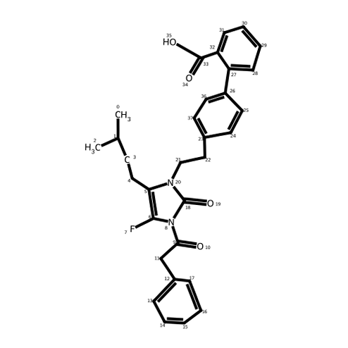 CC(C)CCc1c(F)n(C(=O)Cc2ccccc2)c(=O)n1CCc1ccc(-c2ccccc2C(=O)O)cc1